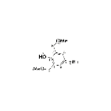 CCC(C)c1cc(COC)c(O)c(COC)c1